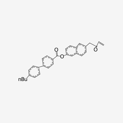 C=CC(=O)Cc1ccc2cc(OC(=O)c3ccc(-c4ccc(CCCC)cc4)cc3)ccc2c1